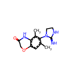 Cc1cc2c(c(C)c1N1CCNC1=N)NC(=O)CO2